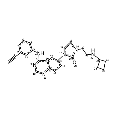 C#Cc1cccc(Nc2ncnc3ccc(-n4ccn(CCNC5CCC5)c4=O)cc23)c1